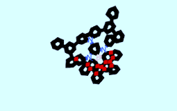 c1ccc(-c2ccc(-c3ccccc3-c3ccc4c(c3)B3c5c(cc(-n6c7cc(-c8cc(-c9ccccc9)cc(-c9ccccc9)c8)ccc7c7ccc(-c8cc(-c9ccccc9)cc(-c9ccccc9)c8)cc76)cc5-n5c6ccccc6c6cc(-c7ccccc7-c7ccc(-c8ccccc8)cc7)cc3c65)N4c3ccccc3)cc2)cc1